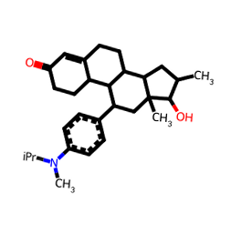 CC1CC2C3CCC4=CC(=O)CCC4C3C(c3ccc(N(C)C(C)C)cc3)CC2(C)C1O